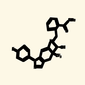 CCC1=Cc2c(cnn2-c2ccc(F)cc2)CC1(C)[C@@H](O)CCc1ccccc1C(=O)OC